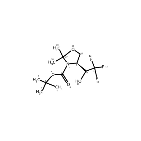 CC(C)(C)OC(=O)N1[C@H](C(O)C(F)(F)F)COC1(C)C